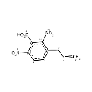 C=CCc1ccc([N+](=O)[O-])c(C(=O)O)c1[N+](=O)[O-]